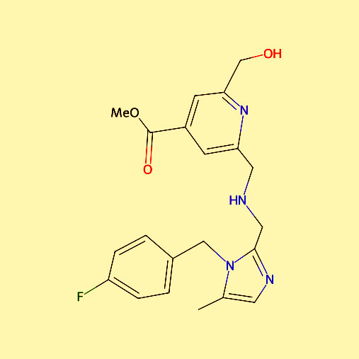 COC(=O)c1cc(CO)nc(CNCc2ncc(C)n2Cc2ccc(F)cc2)c1